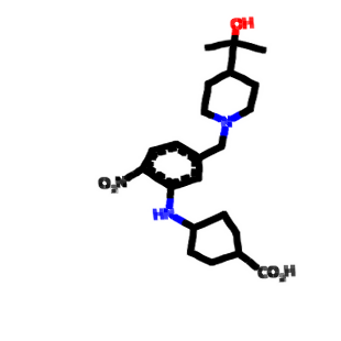 CC(C)(O)C1CCN(Cc2ccc([N+](=O)[O-])c(NC3CCC(C(=O)O)CC3)c2)CC1